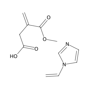 C=C(CC(=O)O)C(=O)OC.C=Cn1ccnc1